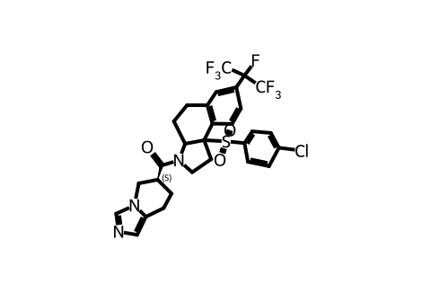 O=C([C@H]1CCc2cncn2C1)N1CCC2(S(=O)(=O)c3ccc(Cl)cc3)c3ccc(C(F)(C(F)(F)F)C(F)(F)F)cc3CCC12